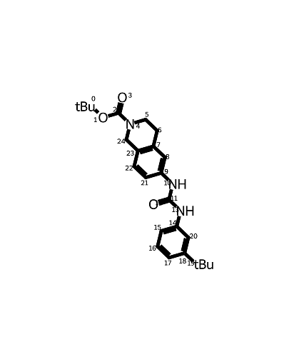 CC(C)(C)OC(=O)N1CCc2cc(NC(=O)Nc3cccc(C(C)(C)C)c3)ccc2C1